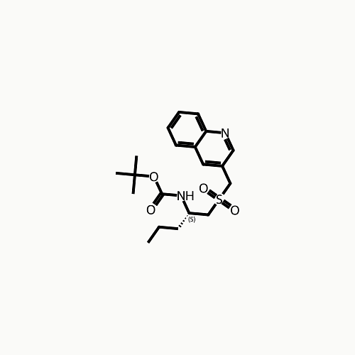 CCC[C@@H](CS(=O)(=O)Cc1cnc2ccccc2c1)NC(=O)OC(C)(C)C